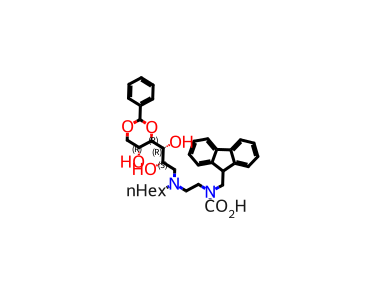 CCCCCCN(CCN(CC1c2ccccc2-c2ccccc21)C(=O)O)C[C@H](O)[C@@H](O)[C@@H]1OC(c2ccccc2)OC[C@H]1O